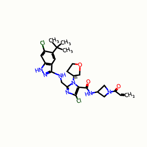 C=CC(=O)N1CC(NC(=O)c2c(Cl)nc(CNc3n[nH]c4cc(Cl)c(C(C)(C)C)cc34)n2[C@H]2CCOC2)C1